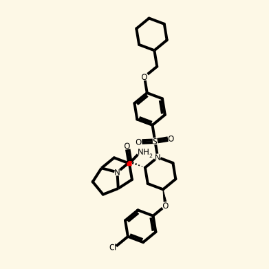 NC1CC2CCC(C1)N2C(=O)[C@H]1C[C@H](Oc2ccc(Cl)cc2)CCN1S(=O)(=O)c1ccc(OCC2CCCCC2)cc1